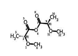 CO[C@H](C)C(=O)OC(=O)[C@@H](C)OC